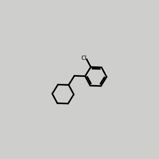 Clc1ccccc1C[C]1CCCCC1